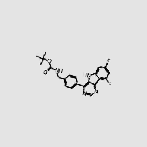 CC(C)(C)OC(=O)NCc1ccc(-c2ncnc3c2[nH]c2cc(F)cc(F)c23)cc1